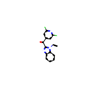 C=Cn1c(C(=O)c2cc(Cl)nc(Cl)c2)nc2ccccc21